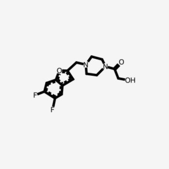 O=C(CO)N1CCN(Cc2cc3cc(F)c(F)cc3o2)CC1